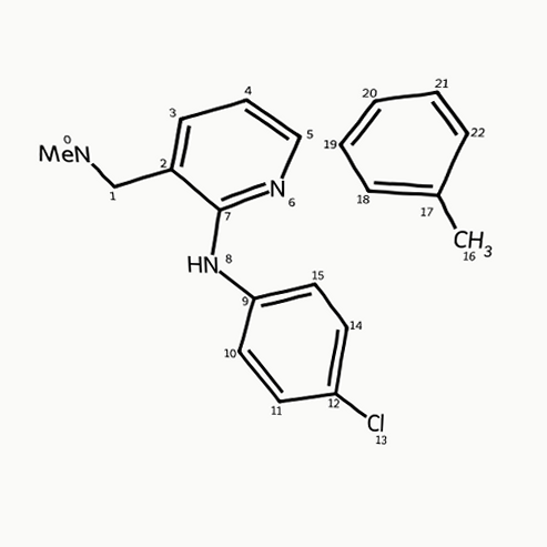 CNCc1cccnc1Nc1ccc(Cl)cc1.Cc1ccccc1